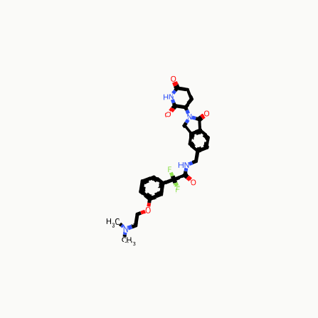 CN(C)CCOc1cccc(C(F)(F)C(=O)NCc2ccc3c(c2)CN(C2CCC(=O)NC2=O)C3=O)c1